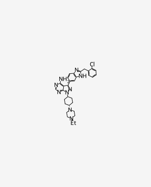 CCN1CCN([C@H]2CC[C@H](n3nc(-c4ccc5nc(Cc6ccccc6Cl)[nH]c5c4)c4c(N)ncnc43)CC2)CC1